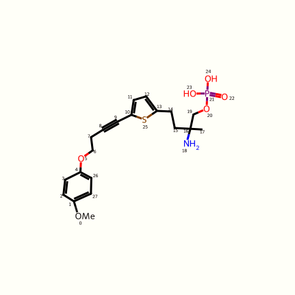 COc1ccc(OCCC#Cc2ccc(CCC(C)(N)COP(=O)(O)O)s2)cc1